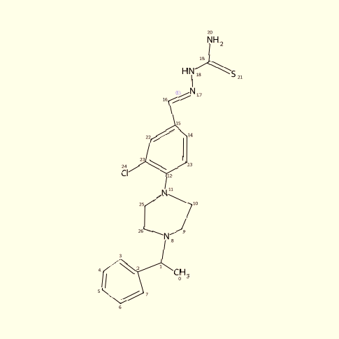 CC(c1ccccc1)N1CCN(c2ccc(/C=N/NC(N)=S)cc2Cl)CC1